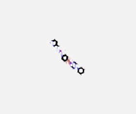 O=C(NCc1cccnc1)Nc1ccc(S(=O)(=O)N2CCN(C3CCCCC3)CC2)cc1